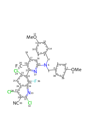 COc1ccc(CN(Cc2ccc(OC)cc2)c2cc(C)c(C(F)(F)F)c(-c3c(Cl)cc4c(Cl)c(C#N)c(Cl)nc4c3F)n2)cc1